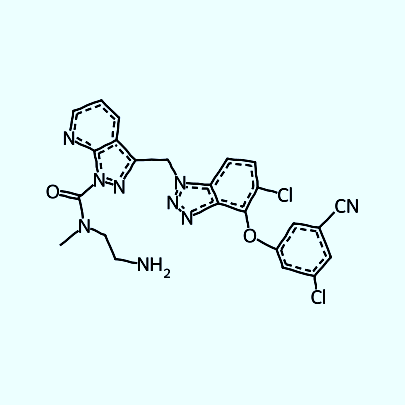 CN(CCN)C(=O)n1nc(Cn2nnc3c(Oc4cc(Cl)cc(C#N)c4)c(Cl)ccc32)c2cccnc21